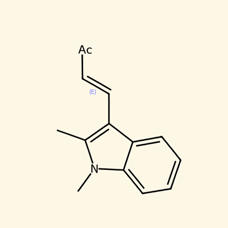 CC(=O)/C=C/c1c(C)n(C)c2ccccc12